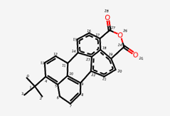 CC(C)(C)C1=C2CC=CC3=C2C(C=C1)c1ccc2c4c(ccc3c14)C(=O)OC2=O